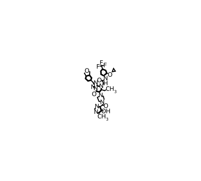 CCc1c(N2CCN(C(=O)c3ncnc(C)c3O)CC2)c(=O)n2nc(-c3ccc4c(c3)COC4)nc2n1CC(=O)Nc1ccc(C(F)(F)F)cc1OC1CC1